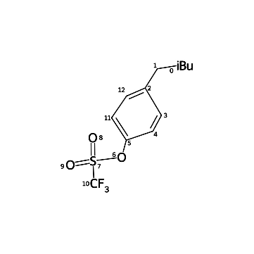 CCC(C)Cc1ccc(OS(=O)(=O)C(F)(F)F)cc1